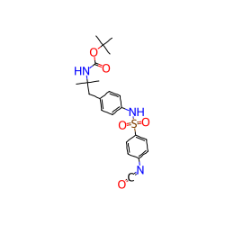 CC(C)(Cc1ccc(NS(=O)(=O)c2ccc(N=C=O)cc2)cc1)NC(=O)OC(C)(C)C